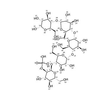 O=P(O)(O)O[C@H]1[C@@H](O[C@H]2[C@H](O)[C@@H](O)[C@@H](O[C@H]3[C@H](O)[C@@H](O)[C@@H](O[C@H]4[C@H](O)[C@@H](O)[C@@H](O[C@H]5[C@H](O)[C@@H](O)[C@@H](O)O[C@@H]5CO)O[C@@H]4CO)O[C@@H]3CO)O[C@@H]2CO)O[C@H](CO)[C@@H](O)[C@@H]1O